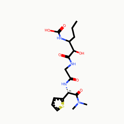 CCCC(NC(=O)O)C(O)C(=O)NCC(=O)N[C@H](C(=O)N(C)C)c1cccs1